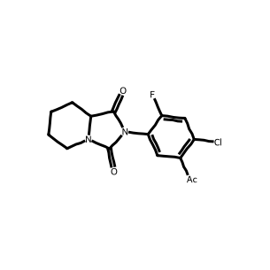 CC(=O)c1cc(N2C(=O)C3CCCCN3C2=O)c(F)cc1Cl